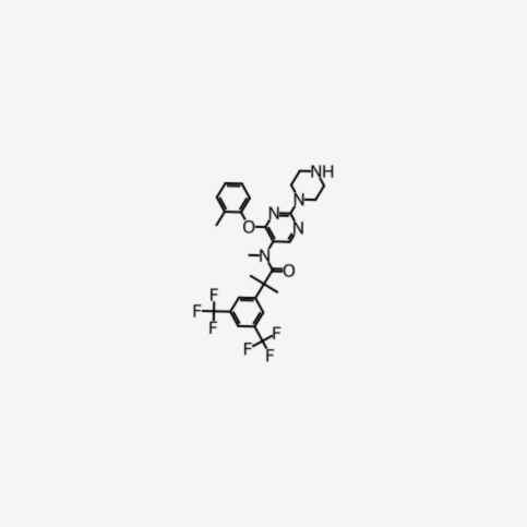 Cc1ccccc1Oc1nc(N2CCNCC2)ncc1N(C)C(=O)C(C)(C)c1cc(C(F)(F)F)cc(C(F)(F)F)c1